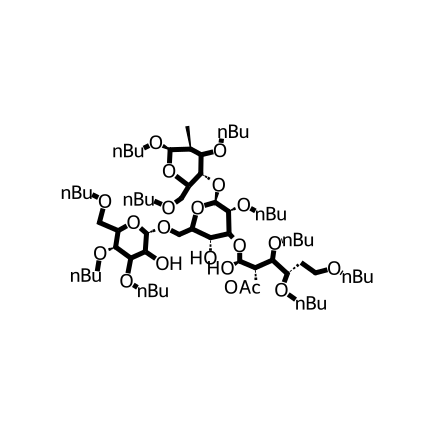 CCCCOCC[C@H](OCCCC)C(OCCCC)[C@H](OC(C)=O)[C@@H](O)OC1[C@H](O)C(CO[C@H]2OC(COCCCC)[C@@H](OCCCC)C(OCCCC)C2O)O[C@@H](O[C@@H]2C(COCCCC)O[C@@H](OCCCC)[C@@H](C)C2OCCCC)[C@@H]1OCCCC